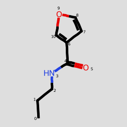 CCCNC(=O)c1ccoc1